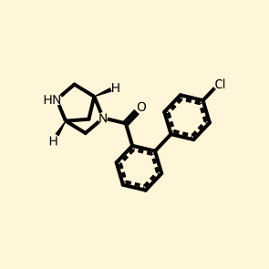 O=C(c1ccccc1-c1ccc(Cl)cc1)N1C[C@H]2C[C@@H]1CN2